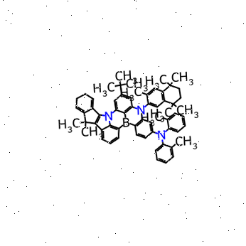 Cc1ccccc1N(c1ccc2c(c1)N(c1cc3c(cc1C)C(C)(C)CCC3(C)C)c1cc(C(C)(C)C)cc3c1B2c1cccc2c4c(n-3c12)C1=CCCC=C1C4(C)C)c1ccccc1C